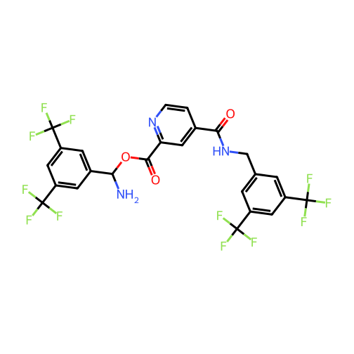 NC(OC(=O)c1cc(C(=O)NCc2cc(C(F)(F)F)cc(C(F)(F)F)c2)ccn1)c1cc(C(F)(F)F)cc(C(F)(F)F)c1